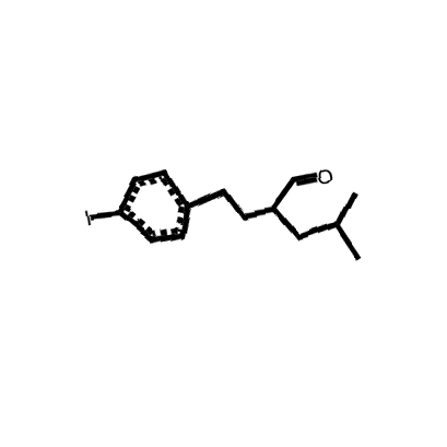 CC(C)CC(C=O)CCc1ccc(I)cc1